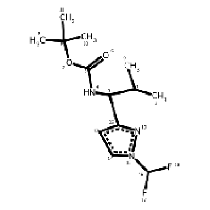 CC(C)C(NC(=O)OC(C)(C)C)c1ccn(C(F)F)n1